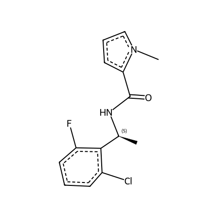 C[C@H](NC(=O)c1cccn1C)c1c(F)cccc1Cl